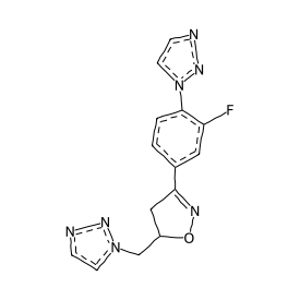 Fc1cc(C2=NOC(Cn3ccnn3)C2)ccc1-n1ccnn1